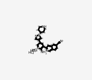 Cl.Cl.Cl.N#Cc1ccc2cnc(-c3cc(-c4cnn(C5CCNCC5)c4)cnc3N)cc2c1